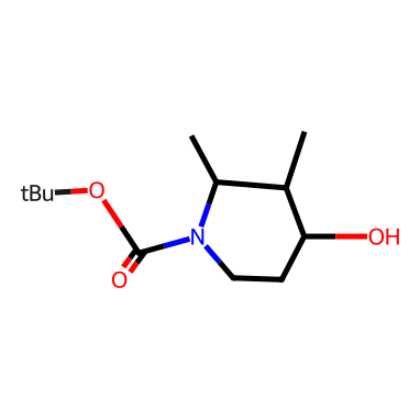 CC1C(O)CCN(C(=O)OC(C)(C)C)C1C